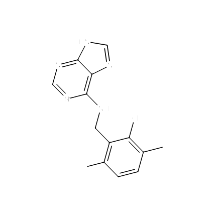 Cc1ccc(F)c(CNc2ncnc3[nH]cnc23)c1Cl